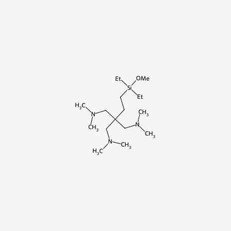 CC[Si](CC)(CCC(CN(C)C)(CN(C)C)CN(C)C)OC